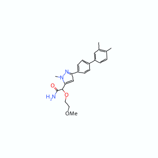 COCCOC(C(N)=O)c1cc(-c2ccc(-c3ccc(C)c(C)c3)cc2)nn1C